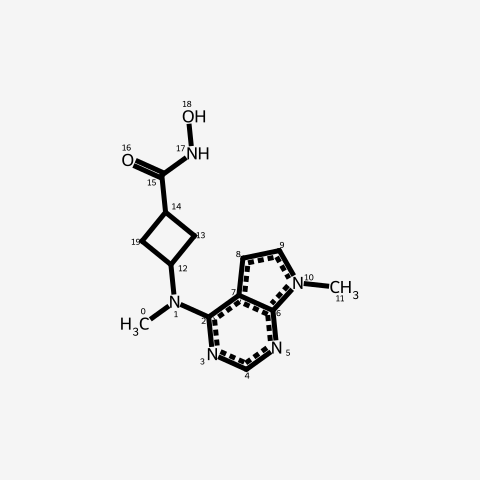 CN(c1ncnc2c1ccn2C)C1CC(C(=O)NO)C1